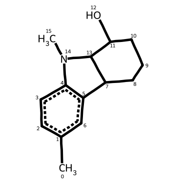 Cc1ccc2c(c1)C1CCCC(O)C1N2C